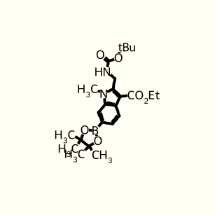 CCOC(=O)c1c(CNC(=O)OC(C)(C)C)n(C)c2cc(B3OC(C)(C)C(C)(C)O3)ccc12